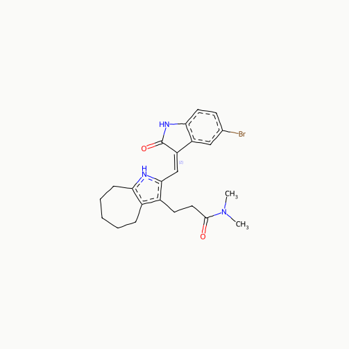 CN(C)C(=O)CCc1c(/C=C2\C(=O)Nc3ccc(Br)cc32)[nH]c2c1CCCCC2